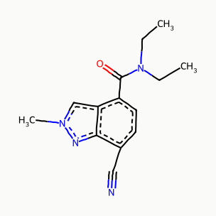 CCN(CC)C(=O)c1ccc(C#N)c2nn(C)cc12